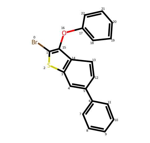 Brc1sc2cc(-c3ccccc3)ccc2c1Oc1ccccc1